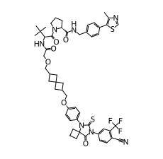 Cc1ncsc1-c1ccc(CNC(=O)[C@@H]2CCCN2C(=O)C(NC(=O)COCC2CC3(C2)CC(COc2ccc(N4C(=S)N(c5ccc(C#N)c(C(F)(F)F)c5)C(=O)C45CCC5)cc2)C3)C(C)(C)C)cc1